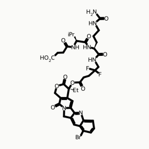 CC[C@@]1(OC(=O)CCC(F)(F)CNC(=O)[C@H](CCCNC(N)=O)NC(=O)[C@@H](NC(=O)CCC(=O)O)C(C)C)C(=O)OCc2c1cc1n(c2=O)Cc2cc3c(Br)cccc3nc2-1